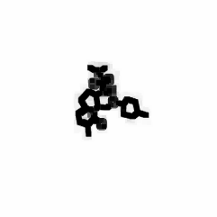 Cc1ccc2n(c1=O)C(COC1CCC(C)CC1)C(NS(=O)(=O)N(C)C)CC2